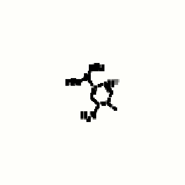 CCCCN(CCCC)c1ccc(C)c(N)c1.F